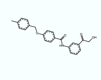 Cc1ccc(COc2ccc(C(=O)Nc3cccc(C(=O)CO)c3)cc2)cc1